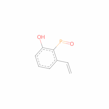 C=Cc1cccc(O)c1P=O